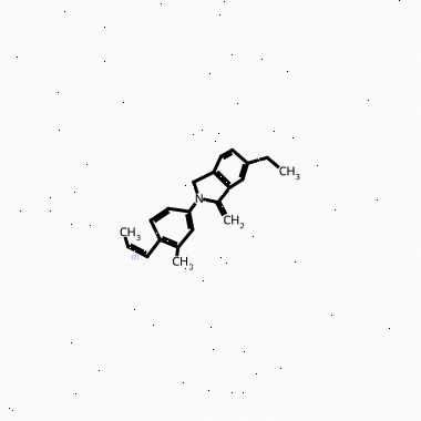 C=C1c2cc(CC)ccc2CN1c1ccc(/C=C\C)c(C)c1